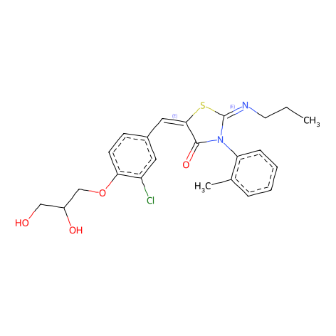 CCC/N=C1/S/C(=C/c2ccc(OCC(O)CO)c(Cl)c2)C(=O)N1c1ccccc1C